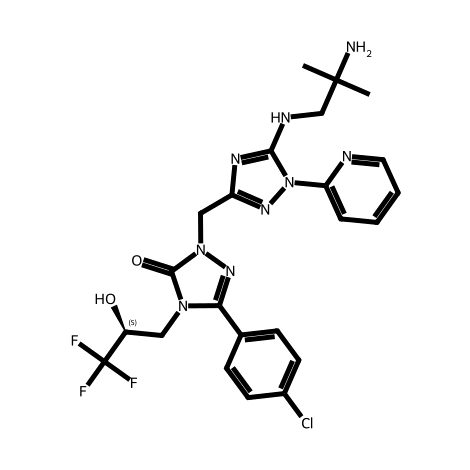 CC(C)(N)CNc1nc(Cn2nc(-c3ccc(Cl)cc3)n(C[C@H](O)C(F)(F)F)c2=O)nn1-c1ccccn1